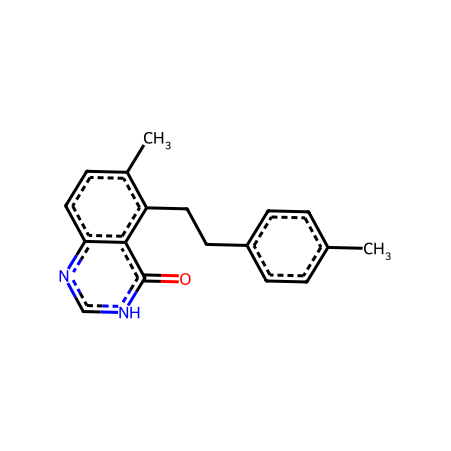 Cc1ccc(CCc2c(C)ccc3nc[nH]c(=O)c23)cc1